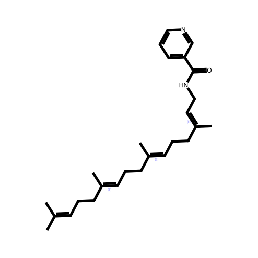 CC(C)=CCC/C(C)=C/CC/C(C)=C/CC/C(C)=C/CNC(=O)c1cccnc1